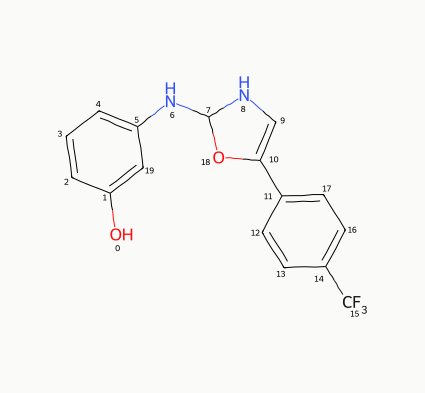 Oc1cccc(NC2NC=C(c3ccc(C(F)(F)F)cc3)O2)c1